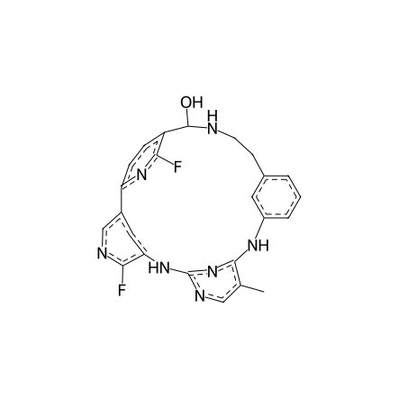 Cc1cnc2nc1Nc1cccc(c1)CCNC(O)c1ccc(nc1F)-c1cnc(F)c(c1)N2